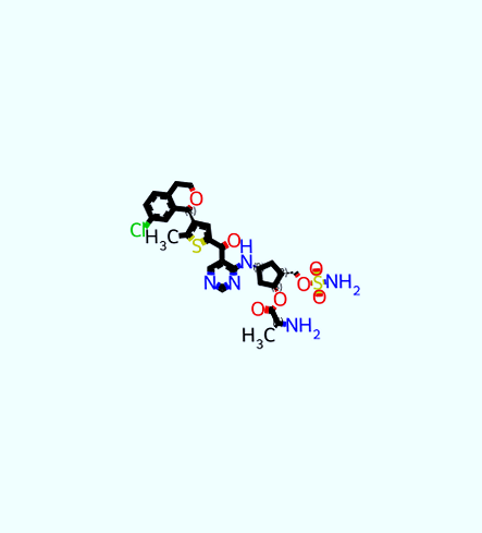 Cc1sc(C(=O)c2cncnc2N[C@@H]2C[C@H](COS(N)(=O)=O)[C@@H](OC(=O)[C@H](C)N)C2)cc1[C@@H]1OCCc2ccc(Cl)cc21